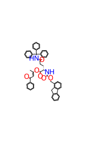 CC(=CC(=O)c1ccccc1)OC(=O)[C@H](CCC(=O)NC(c1ccccc1)(c1ccccc1)c1ccccc1)NC(=O)OCc1cccc2c1Cc1ccccc1-2